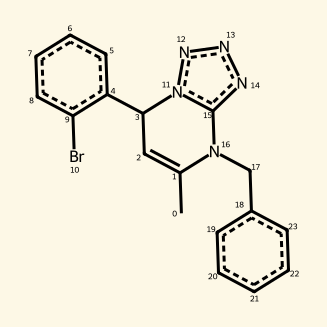 CC1=CC(c2ccccc2Br)n2nnnc2N1Cc1ccccc1